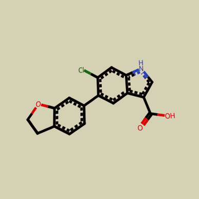 O=C(O)c1c[nH]c2cc(Cl)c(-c3ccc4c(c3)OCC4)cc12